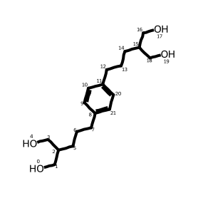 OCC(CO)CCCc1ccc(CCCC(CO)CO)cc1